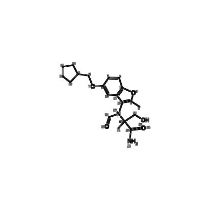 Cc1oc2ccc(OCC3CCCC3)cc2c1N(C=O)C(C)(CO)C(N)=O